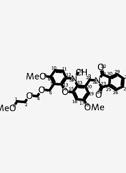 COCCOCOCc1c(OC)ccc2c1Oc1cc(OC)cc(CN3C(=O)c4ccccc4C3=O)c1N2C